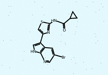 O=C(Nc1nc(-c2c[nH]c3ncc(Br)cc23)cs1)C1CC1